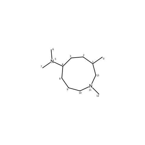 CC1CCC(N(C)C)CCCN(C)C1